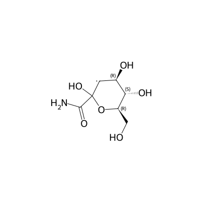 NC(=O)C1(O)[CH][C@@H](O)[C@H](O)[C@@H](CO)O1